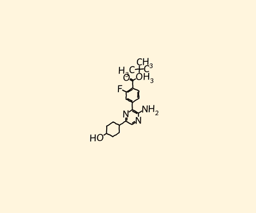 CC(C)(C)OC(=O)c1ccc(-c2nc(C3CCC(O)CC3)cnc2N)cc1F